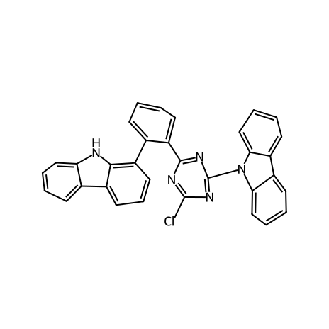 Clc1nc(-c2ccccc2-c2cccc3c2[nH]c2ccccc23)nc(-n2c3ccccc3c3ccccc32)n1